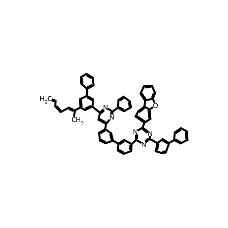 C=C/C=C\C=C(/C)c1cc(-c2ccccc2)cc(-c2cc(-c3cccc(-c4cccc(-c5nc(-c6cccc(-c7ccccc7)c6)nc(-c6ccc7c(c6)oc6ccccc67)n5)c4)c3)nc(-c3ccccc3)n2)c1